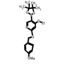 CCOc1cc(OCc2ccc(OC)cc2)ncc1B1OC(C)(C)C(C)(C)O1